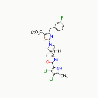 CCOC(=O)c1sc(N2C[C@@H]3[C@H](C2)[C@H]3NC(=O)c2[nH]c(C)c(Cl)c2Cl)nc1Cc1cccc(F)c1